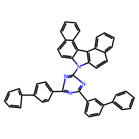 c1ccc(-c2ccc(-c3nc(-c4cccc(-c5ccccc5)c4)nc(-n4c5ccc6ccccc6c5c5c6ccccc6ccc54)n3)cc2)cc1